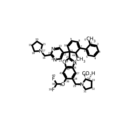 Cc1ccccc1C1=CC=CC(c2cnc(CN3CCCC3)nc2)(c2nc3cc(CN4CCC[C@H]4C(=O)O)c(OC(F)F)cc3o2)C1C